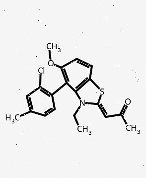 CCN1C(=CC(C)=O)Sc2ccc(OC)c(-c3ccc(C)cc3Cl)c21